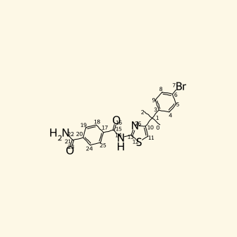 CC(C)(c1ccc(Br)cc1)c1csc(NC(=O)c2ccc(C(N)=O)cc2)n1